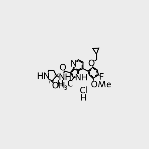 COc1cc(-c2ccnc3c(C(=O)N[C@@H]4CCNC[C@@H]4O)c(C)[nH]c23)c(OCC2CC2)cc1F.Cl